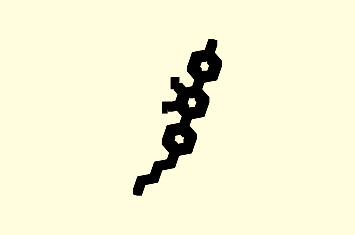 CCCCCc1ccc(-c2ccc(-c3ccc(C)cc3)c(F)c2F)cc1